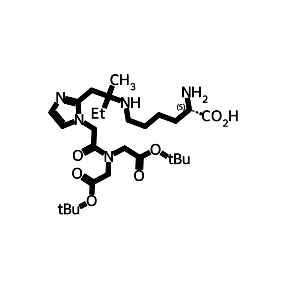 CCC(C)(Cc1nccn1CC(=O)N(CC(=O)OC(C)(C)C)CC(=O)OC(C)(C)C)NCCCC[C@H](N)C(=O)O